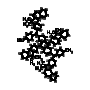 Cc1ccc(N(c2ccc3c(c2)C(C)(C)c2ccc4ccccc4c2-3)c2ccc3c(-c4ccc5c(c4)C(C)(C)c4ccccc4-5)c4cc(N(c5ccc(C(C)(C)C)cc5)c5ccc6c(c5)C(C)(C)c5ccc7ccccc7c5-6)ccc4c(-c4ccc5c(c4)C(C)(C)c4ccccc4-5)c3c2)cc1